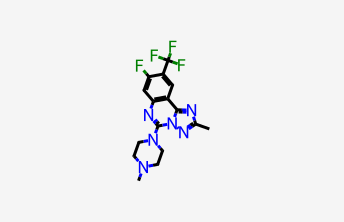 Cc1nc2c3cc(C(F)(F)F)c(F)cc3nc(N3CCN(C)CC3)n2n1